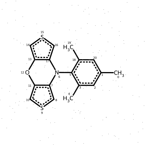 Cc1cc(C)c(N2c3cscc3Oc3cscc32)c(C)c1